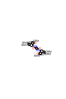 COc1cc2c(c(OC)c1OC)-c1ccc(SC)c(=O)cc1[C@@H](NC(=O)c1ccc(C(=O)N[C@H]3CCc4cc(OC)c(OC)c(OC)c4-c4ccc(SC)c(=O)cc43)cc1)CC2